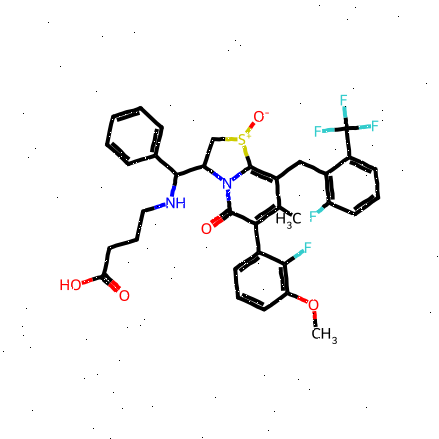 COc1cccc(-c2c(C)c(Cc3c(F)cccc3C(F)(F)F)c3n(c2=O)C(C(NCCCC(=O)O)c2ccccc2)C[S+]3[O-])c1F